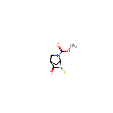 CC(C)(C)OC(=O)N1CC2CC1[C@@H](F)C2=O